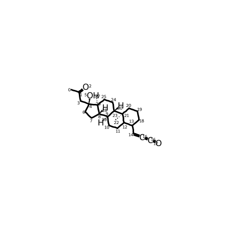 CC(=O)C[C@@]1(O)CC[C@H]2[C@@H]3CCC4C(C=C=C=O)CCC[C@]4(C)[C@H]3CC[C@@]21C